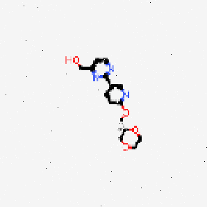 OCc1ccnc(-c2ccc(OC[C@H]3COCCO3)nc2)n1